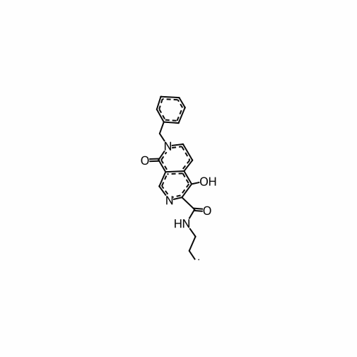 [CH2]CCNC(=O)c1ncc2c(=O)n(Cc3ccccc3)ccc2c1O